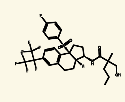 CCCC(C)(CO)C(=O)N[C@@H]1CC[C@@]2(S(=O)(=O)c3ccc(F)cc3)c3ccc(C(F)(C(F)(F)F)C(F)(F)F)cc3CC[C@@H]12